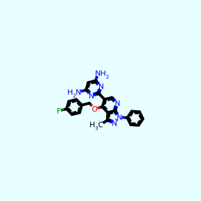 Cc1nn(-c2ccccc2)c2ncc(-c3nc(N)cc(N)n3)c(OCc3ccc(F)cc3)c12